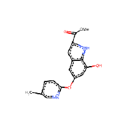 COC(=O)c1cc2cc(Oc3ccc(C)cn3)cc(O)c2[nH]1